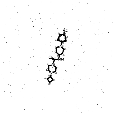 CC(=O)c1ccc(N2CCC(NC(=O)N3CCN(C4CCC4)CC3)CC2)cc1